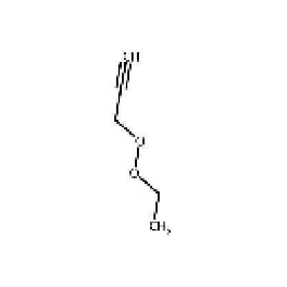 C#CCOOCC